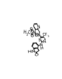 CN(c1cccnc1CNc1nc(Nc2cccc3c2CC(=O)N3)ncc1C(F)(F)F)S(C)(=O)=O